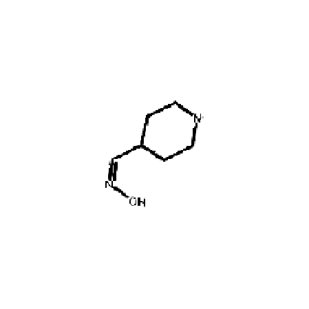 O/N=C\C1CC[N]CC1